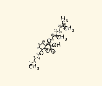 CCC=CCCOc1cccc2c(OC/C=C(\C)CCC=C(C)C)c(O)c(=O)oc12